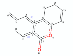 C=C/C=c1/c2c(oc(=O)/c1=C/C)C=CCC2